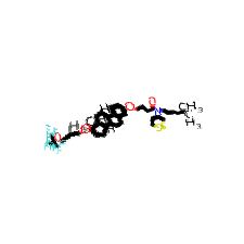 CC(C)CCCCN(C(=O)CCCOc1ccc2c(c1)CC[C@@H]1[C@@H]2CC[C@]2(C)[C@@H](OCCCOC(C(F)(F)F)(C(F)(F)F)C(F)(F)F)CC[C@@H]12)C1CCSSC1